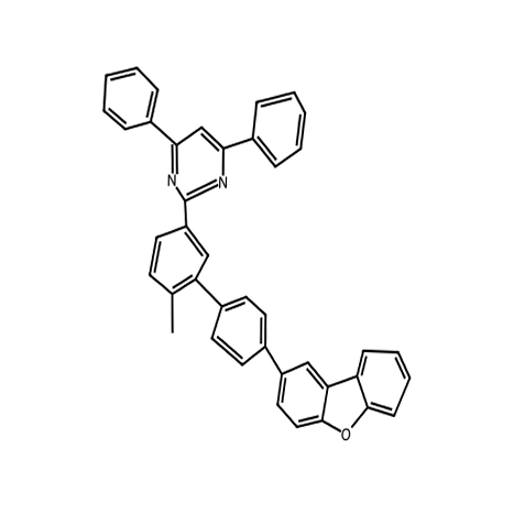 Cc1ccc(-c2nc(-c3ccccc3)cc(-c3ccccc3)n2)cc1-c1ccc(-c2ccc3oc4ccccc4c3c2)cc1